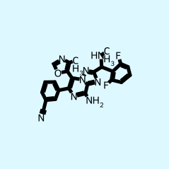 CNC(c1nc2c(N)nc(-c3cccc(C#N)c3)c(-c3ocnc3C)n2n1)c1c(F)cccc1F